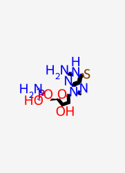 Nc1nc2c(ncn2[C@H]2C[C@H](O)[C@@H](COP(N)O)O2)c(=S)[nH]1